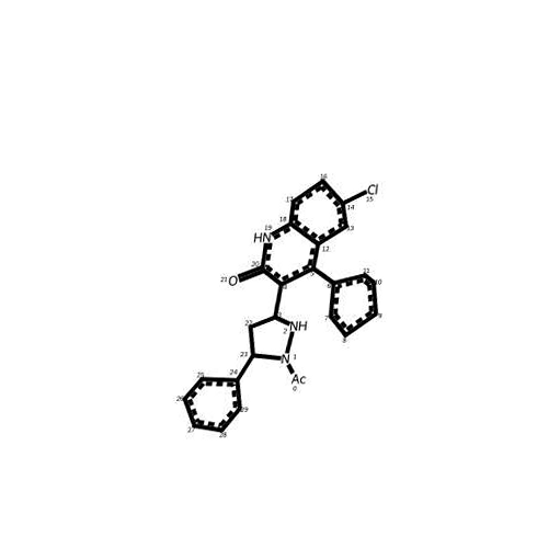 CC(=O)N1NC(c2c(-c3ccccc3)c3cc(Cl)ccc3[nH]c2=O)CC1c1ccccc1